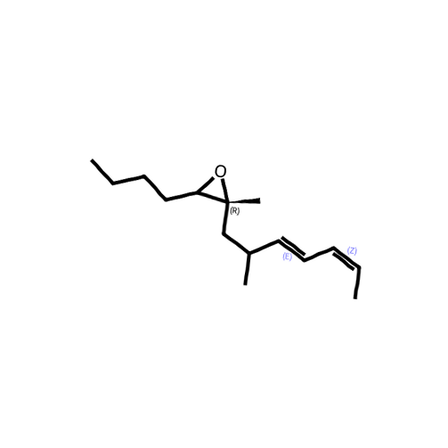 C/C=C\C=C\C(C)C[C@@]1(C)OC1CCCC